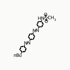 CCCCc1ccc(N=Nc2ccc(N=Nc3ccc(NS(C)(=O)=O)cc3)cc2)cc1